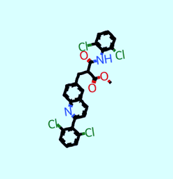 COC(=O)C(Cc1ccc2nc(-c3c(Cl)cccc3Cl)ccc2c1)C(=O)Nc1c(Cl)cccc1Cl